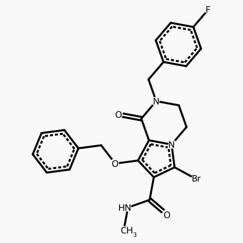 CNC(=O)c1c(OCc2ccccc2)c2n(c1Br)CCN(Cc1ccc(F)cc1)C2=O